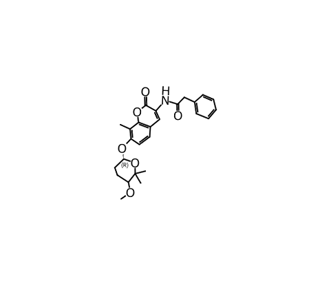 COC1CC[C@H](Oc2ccc3cc(NC(=O)Cc4ccccc4)c(=O)oc3c2C)OC1(C)C